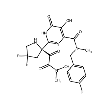 CN(C)C(=O)C(=O)[C@@]1(c2nc(C(=O)N(C)Cc3ccc(F)cc3)c(O)c(=O)[nH]2)CC(F)(F)CN1